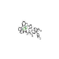 Cc1cccc(-c2cccc(CCc3cccc(-c4cccc(C)c4Cl)c3Cl)c2C)c1C